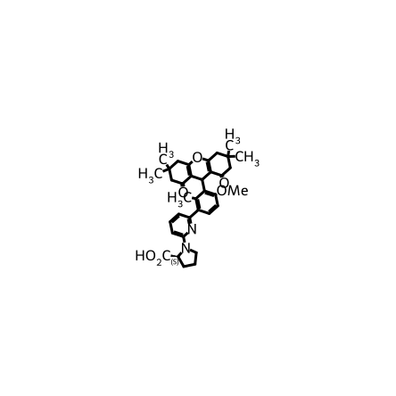 COc1ccc(-c2cccc(N3CCC[C@H]3C(=O)O)n2)c(C)c1C1C2=C(CC(C)(C)CC2=O)OC2=C1C(=O)CC(C)(C)C2